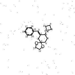 C(=C1/CC2(CCC1N1CCC1)OCCO2)/c1ccccc1